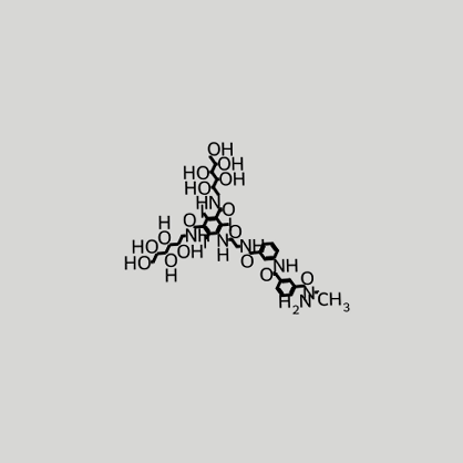 CCN(N)C(=O)c1cccc(C(=O)Nc2cccc(C(=O)NCC(=O)Nc3c(I)c(C(=O)NCC(O)C(O)C(O)C(O)CO)c(I)c(C(=O)NCC(O)C(O)C(O)C(O)CO)c3I)c2)c1